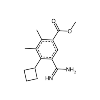 COC(=O)c1cc(C(=N)N)c(C2CCC2)c(C)c1C